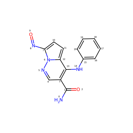 NC(=O)c1cnn2c(N=O)ccc2c1Nc1ccccc1